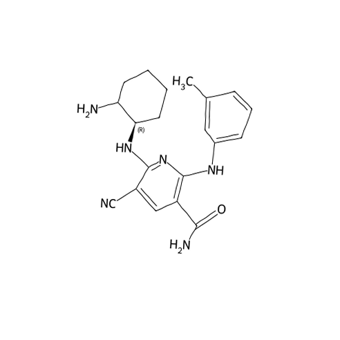 Cc1cccc(Nc2nc(N[C@@H]3CCCCC3N)c(C#N)cc2C(N)=O)c1